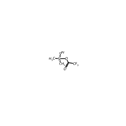 CCC[Si](C)(C)OC(=O)C(F)(F)F